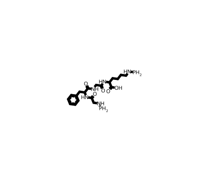 O=C(CNC(=O)C(Cc1ccccc1)NC(=O)CNP)NC(CCCCNP)C(=O)O